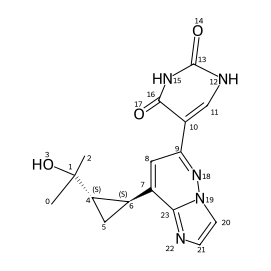 CC(C)(O)[C@H]1C[C@@H]1c1cc(-c2c[nH]c(=O)[nH]c2=O)nn2ccnc12